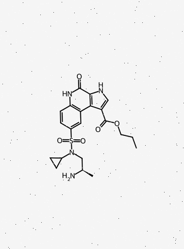 CCCOC(=O)c1c[nH]c2c(=O)[nH]c3ccc(S(=O)(=O)N(C[C@@H](C)N)C4CC4)cc3c12